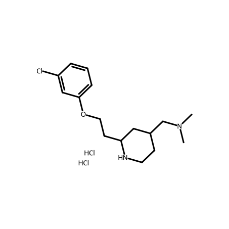 CN(C)CC1CCNC(CCOc2cccc(Cl)c2)C1.Cl.Cl